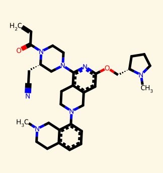 C=CC(=O)N1CCN(c2nc(OC[C@@H]3CCCN3C)cc3c2CCN(c2cccc4c2CN(C)CC4)C3)C[C@@H]1CC#N